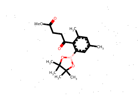 COC(=O)CCC(=O)c1c(C)cc(C)cc1B1OC(C)(C)C(C)(C)O1